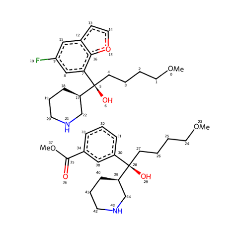 COCCCC[C@@](O)(c1cc(F)cc2ccoc12)[C@@H]1CCCNC1.COCCCC[C@@](O)(c1cccc(C(=O)OC)c1)[C@@H]1CCCNC1